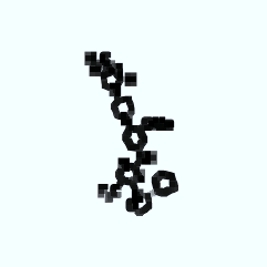 COc1cc(Nc2ncc(C(F)(F)F)c(N3OCC[C@H]3c3ccccc3)n2)ccc1N1CCC(N2C[C@@H]3C[C@H]2CN3C)CC1